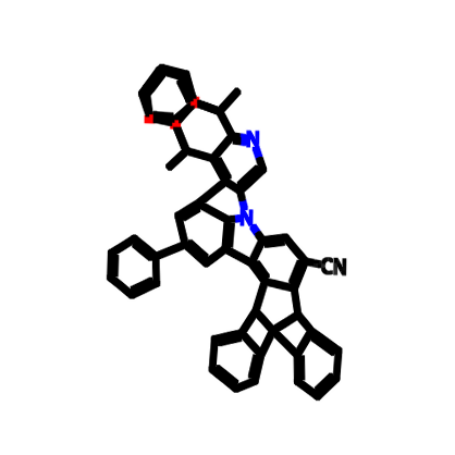 CC12c3ccccc3C(C)(c3ccccc31)c1c2ncc2c1c1cc(-c3ccccc3)cc3c4c5c(c(C#N)cc4n2c31)C1c2ccccc2C12c1ccccc1C52